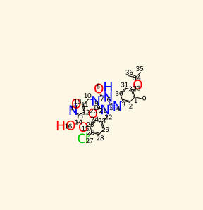 Cc1cc(/N=c2\[nH]c(=O)n(Cc3cc(C(=O)O)no3)c(=O)n2Cc2ccc(Cl)cc2)ccc1OC(C)C